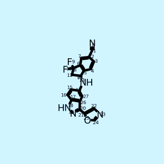 N#Cc1ccc2c(c1)C(F)(F)C[C@H]2Nc1ccc2[nH]nc(-c3cnco3)c2c1